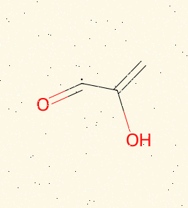 C=C(O)[C]=O